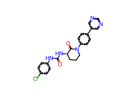 O=C(Nc1ccc(Cl)cc1)N[C@@H]1CCCN(c2ccc(-c3cncnc3)cc2)C1=O